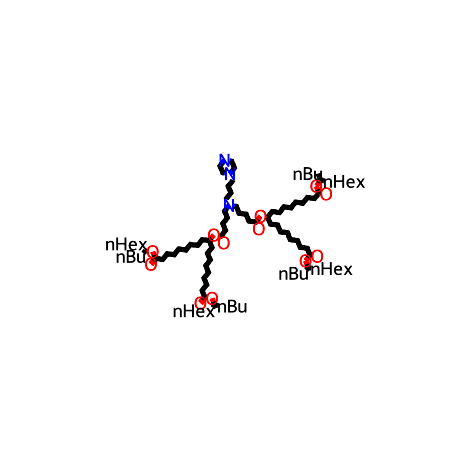 CCCCCCC(CCCC)OC(=O)CCCCCCCCC(CCCCCCCCC(=O)OC(CCCC)CCCCCC)OC(=O)CCCCN(CCCCC(=O)OC(CCCCCCCCC(=O)OC(CCCC)CCCCCC)CCCCCCCCC(=O)OC(CCCC)CCCCCC)CCCCN1CCN(C)CC1